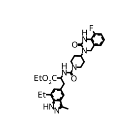 CCOC(=O)C(Cc1cc(CC)c2[nH]nc(C)c2c1)NC(=O)N1CCC(N2Cc3cccc(F)c3NC2=O)CC1